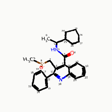 CC(NC(=O)c1c(C[S+](C)[O-])c(-c2ccccc2)nc2ccccc12)C1CCCCC1